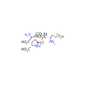 N[C@@H](CC(=O)O)C(=O)O.N[C@@H](CCC(=O)O)C(=O)O.O=C1CC[C@@H](C(=O)O)N1